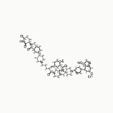 CCOc1cc(-c2ccc(N3CCC(CN4CCN(C(=O)CCCCN5CCC(c6ccc7c(c6)C(=O)N(C6CCC(=O)NC6=O)C7)CC5)CC4)(NC(=O)c4cc(F)ccc4F)CC3)nc2)c2c(C#N)cnn2c1